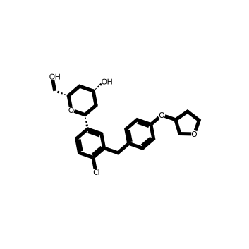 OC[C@@H]1C[C@H](O)C[C@H](c2ccc(Cl)c(Cc3ccc(OC4CCOC4)cc3)c2)O1